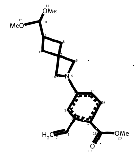 C=Cc1cc(N2CC3(CC(C(OC)OC)C3)C2)ccc1C(=O)OC